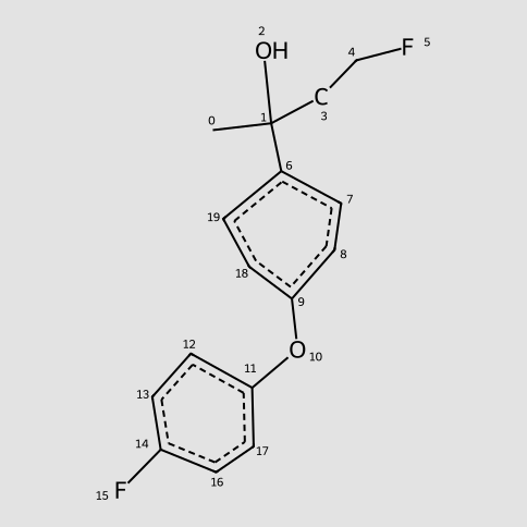 CC(O)(CCF)c1ccc(Oc2ccc(F)cc2)cc1